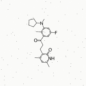 Cc1cc(C)c(CCC(=O)c2cc(F)cc(N(C)C3CCCC3)c2C)c(=O)[nH]1